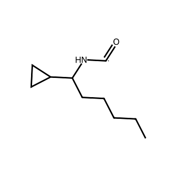 CCCCCC(N[C]=O)C1CC1